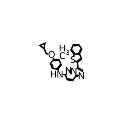 Cc1cc(Nc2ccc3ncc(-c4cc5ccccc5s4)n3n2)ccc1OCC1CC1